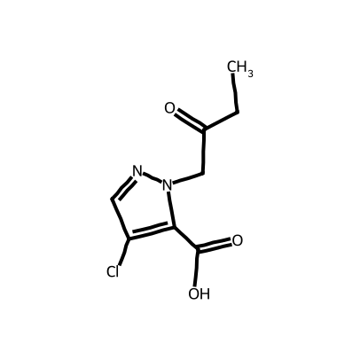 CCC(=O)Cn1ncc(Cl)c1C(=O)O